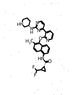 Cc1ccc2c(NC(=O)[C@@H]3CC3C(F)F)cccc2c1Oc1ncccc1-c1ccnc(N[C@H]2CCCNC2)n1